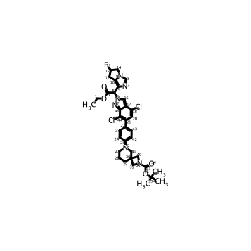 CCOC(=O)C(c1ncn2c1CC(F)C2)n1cc2c(Cl)cc(-c3ccc(N4CCCC5(CN(C(=O)OC(C)(C)C)C5)C4)cc3)c(Cl)c2n1